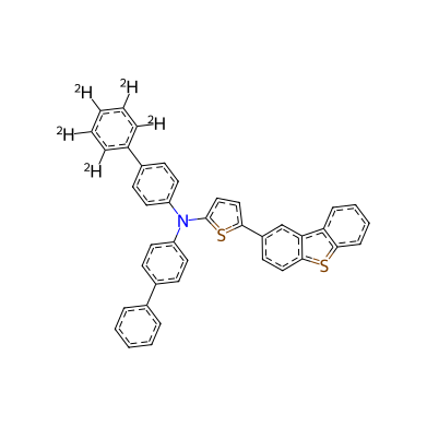 [2H]c1c([2H])c([2H])c(-c2ccc(N(c3ccc(-c4ccccc4)cc3)c3ccc(-c4ccc5sc6ccccc6c5c4)s3)cc2)c([2H])c1[2H]